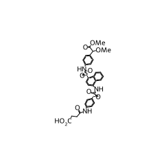 COC(=O)C(OC)c1ccc(NS(=O)(=O)c2ccc(NS(=O)(=O)c3ccc(NC(=O)CCC(=O)O)cc3)c3ccccc23)cc1